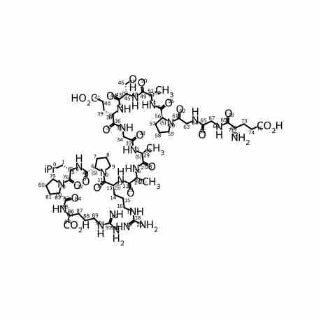 CC(C)C[C@H](NC(=O)[C@@H]1CCCN1C(=O)[C@H](CCCNC(=N)N)NC(=O)[C@H](C)NC(=O)[C@H](C)NC(=O)CNC(=O)[C@H](CCC(=O)O)NC(=O)[C@H](CO)NC(=O)[C@H](C)NC(=O)[C@@H]1CCCN1C(=O)CNC(=O)CNC(=O)[C@@H](N)CCC(=O)O)C(=O)N1CCC[C@H]1C(=O)N[C@@H](CCCNC(=N)N)C(=O)O